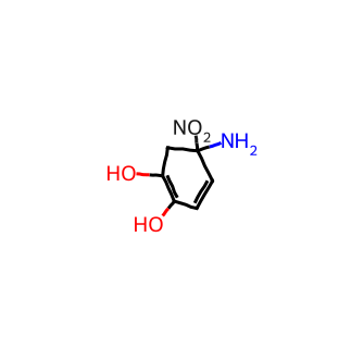 NC1([N+](=O)[O-])C=CC(O)=C(O)C1